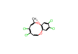 CC1=CC(Cl)=C(Cl)C=COc2cc(Cl)c(Cl)cc2O1